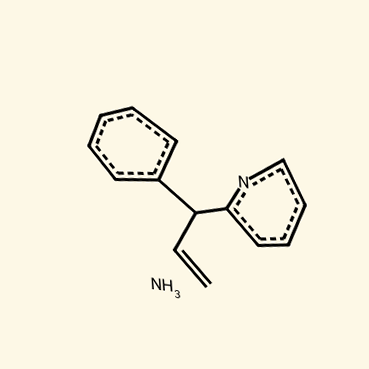 C=CC(c1ccccc1)c1ccccn1.N